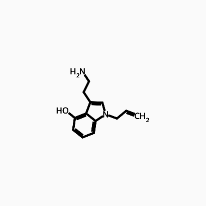 C=CCn1cc(CCN)c2c(O)cccc21